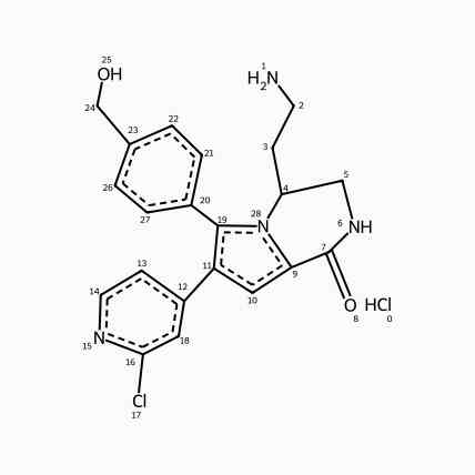 Cl.NCCC1CNC(=O)c2cc(-c3ccnc(Cl)c3)c(-c3ccc(CO)cc3)n21